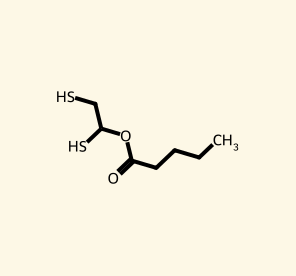 CCCCC(=O)OC(S)CS